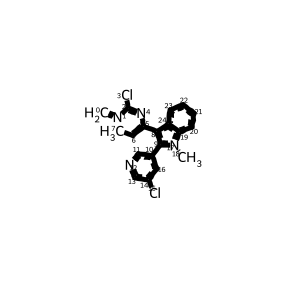 C=N/C(Cl)=N\C(=C/C)c1c(-c2cncc(Cl)c2)n(C)c2ccccc12